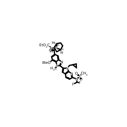 CCOC(=O)N[C@@H]1C[C@@H]2CC[C@H]1N2C(=O)c1cc(OC)c2c(c1)nc(-c1cc3ccc(N(C(F)F)S(C)(=O)=O)nc3n1CC1CC1)n2C